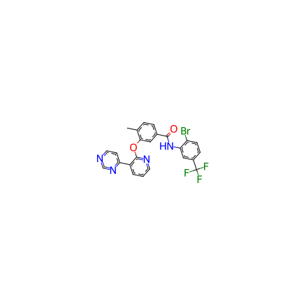 Cc1ccc(C(=O)Nc2cc(C(F)(F)F)ccc2Br)cc1Oc1ncccc1-c1ccncn1